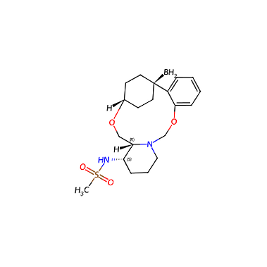 B[C@]12CC[C@H](CC1)OC[C@H]1[C@@H](NS(C)(=O)=O)CCCN1COc1ccccc12